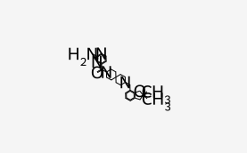 CC1(C)Cc2cccc(CN3CCC4(CC3)CCN(C(=O)c3ccnc(N)n3)CC4)c2O1